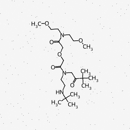 COCCN(CCOC)C(=O)COCC(=O)N(CCNC(C)(C)C)CC(=O)C(C)(C)C